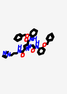 O=C(Cn1nc(C(=O)NCCCn2ccnc2)cc1C(=O)N[C@H]1CCCC[C@@H]1OCc1ccccc1)N[C@H]1CCCC[C@@H]1OCc1ccccc1